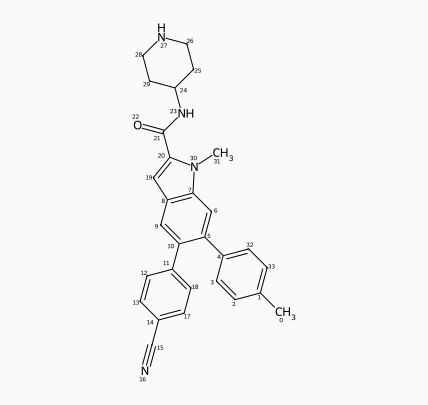 Cc1ccc(-c2cc3c(cc2-c2ccc(C#N)cc2)cc(C(=O)NC2CCNCC2)n3C)cc1